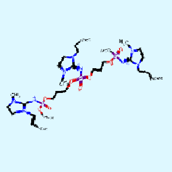 CCCCCCCCCCCCN1CCN(C)/C1=N\P(=O)(OC)OCCCOP(=O)(/N=C1\N(C)CCN1CCCCCCCCCCCC)OCCCOP(=O)(NC1N(C)CCN1CCCCCCCCCCCC)OCCCCCCC